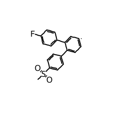 CS(=O)(=O)c1ccc(-c2cc[c]cc2-c2ccc(F)cc2)cc1